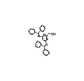 OCc1nc(N=C(c2ccccc2)c2ccccc2)cc(N=C(c2ccccc2)c2ccccc2)n1